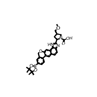 COCC1CC(c2nc3ccc4cc5c(cc4c3[nH]2)OCc2cc(B3OC(C)(C)C(C)(C)O3)ccc2-5)N(C(=O)O)C1